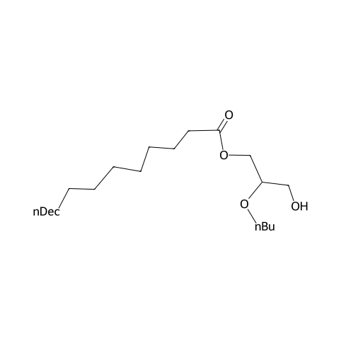 CCCCCCCCCCCCCCCCCC(=O)OCC(CO)OCCCC